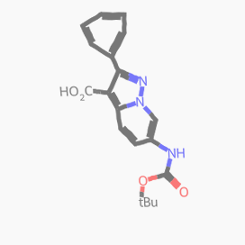 CC(C)(C)OC(=O)Nc1ccc2c(C(=O)O)c(-c3ccccc3)nn2c1